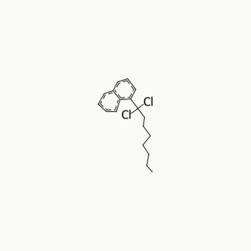 CCCCCCCC(Cl)(Cl)c1cccc2ccccc12